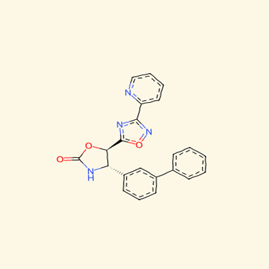 O=C1N[C@@H](c2cccc(-c3ccccc3)c2)[C@H](c2nc(-c3ccccn3)no2)O1